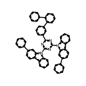 c1ccc(-c2ccc3c4ccccc4n(-c4nc(-c5cccc(-c6ccccc6-c6ccccc6)c5)nc(-n5c6ccccc6c6ccc(-c7ccccc7)cc65)n4)c3c2)cc1